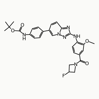 COc1cc(C(=O)N2CC(F)C2)ccc1Nc1nc2ccc(-c3ccc(NC(=O)OC(C)(C)C)cc3)cn2n1